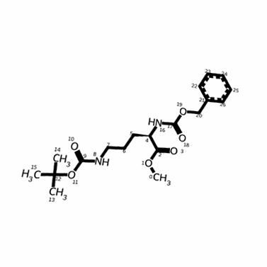 COC(=O)[C@@H](CCCNC(=O)OC(C)(C)C)NC(=O)OCc1ccccc1